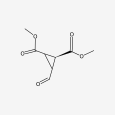 COC(=O)C1C(C=O)[C@@H]1C(=O)OC